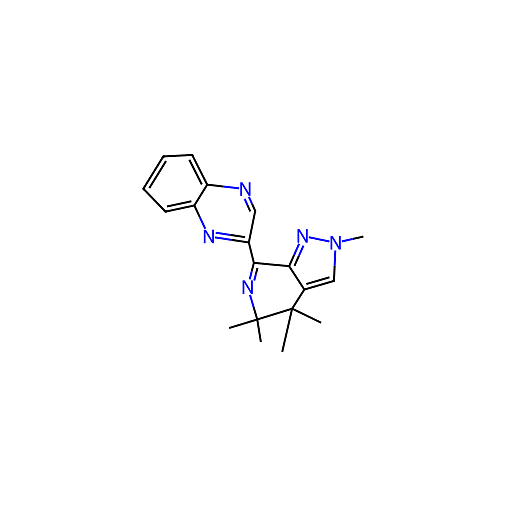 Cn1cc2c(n1)C(c1cnc3ccccc3n1)=NC(C)(C)C2(C)C